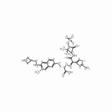 C[n+]1cc2cc(OC[C@H](O/N=C(\C(=O)NC3C(=O)N(OS(=O)(=O)[O-])C3(C)C)c3csc(N)n3)C(=O)O)ccc2cc1NCC1CNC1